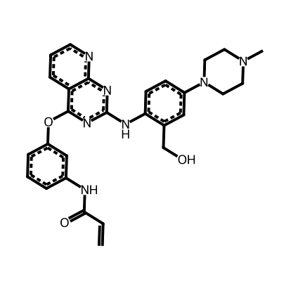 C=CC(=O)Nc1cccc(Oc2nc(Nc3ccc(N4CCN(C)CC4)cc3CO)nc3ncccc23)c1